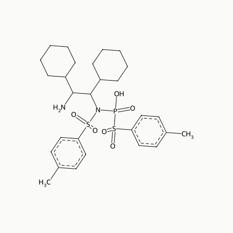 Cc1ccc(S(=O)(=O)N(C(C2CCCCC2)C(N)C2CCCCC2)P(=O)(O)S(=O)(=O)c2ccc(C)cc2)cc1